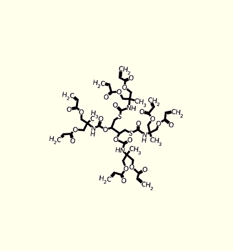 C=CC(=O)OCC(C)(COC(=O)C=C)NC(=O)OC(CSC(=O)NC(C)(COC(=O)C=C)COC(=O)C=C)C(CSC(=O)NC(C)(COC(=O)C=C)COC(=O)C=C)OC(=O)NC(C)(COC(=O)C=C)COC(=O)C=C